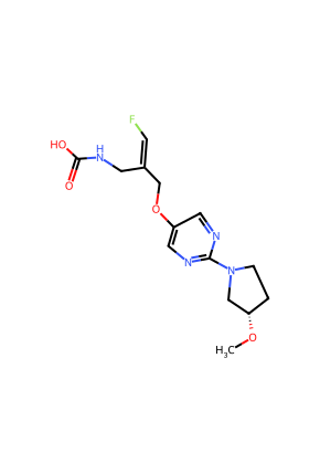 CO[C@H]1CCN(c2ncc(OC/C(=C/F)CNC(=O)O)cn2)C1